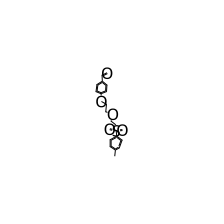 Cc1ccc(S(=O)(=O)CCOCCOc2ccc(C=O)cc2)cc1